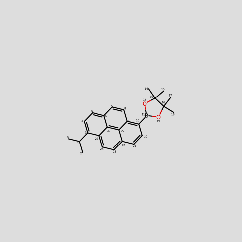 CC(C)c1ccc2ccc3c(B4OC(C)(C)C(C)(C)O4)ccc4ccc1c2c43